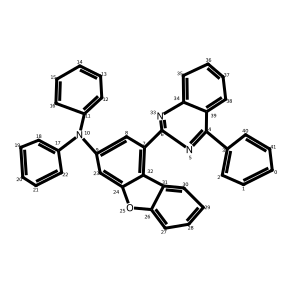 c1ccc(-c2nc(-c3cc(N(c4ccccc4)c4ccccc4)cc4oc5ccccc5c34)nc3ccccc23)cc1